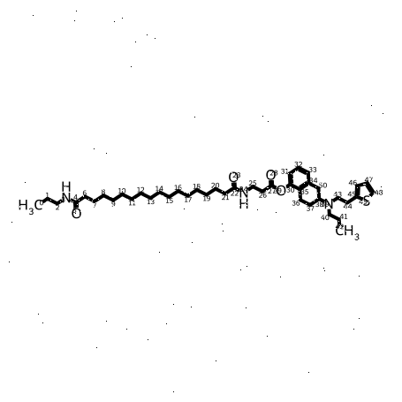 CCCNC(=O)CCCCCCCCCCCCCCCCC(=O)NCCC(=O)Oc1cccc2c1CCC(N(CCC)CCc1cccs1)C2